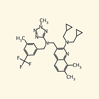 Cc1cc(CN(Cc2cc3ccc(C)c(C)c3nc2N(CC2CC2)CC2CC2)c2nnn(C)n2)cc(C(F)(F)F)c1